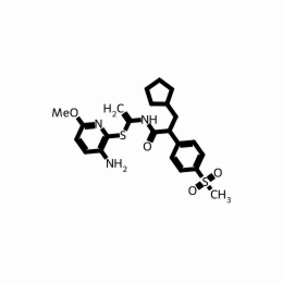 C=C(NC(=O)C(CC1CCCC1)c1ccc(S(C)(=O)=O)cc1)Sc1nc(OC)ccc1N